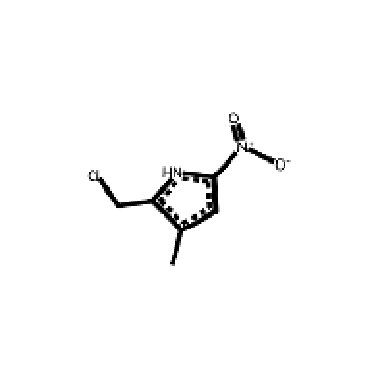 Cc1cc([N+](=O)[O-])[nH]c1CCl